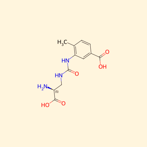 Cc1ccc(C(=O)O)cc1NC(=O)NC[C@H](N)C(=O)O